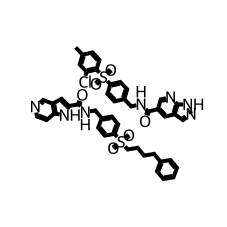 Cc1ccc(S(=O)(=O)c2ccc(CNC(=O)c3cnc4[nH]ncc4c3)cc2)c(Cl)c1.O=C(NCc1ccc(S(=O)(=O)CCCCc2ccccc2)cc1)c1cc2cnccc2[nH]1